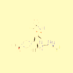 [2H]c1nc(-c2nnc(C(F)F)s2)n2cc(S(=O)(=O)NC3(CF)COC3)c(F)c(N3CCN(C(=O)C(C)C)CC3)c12